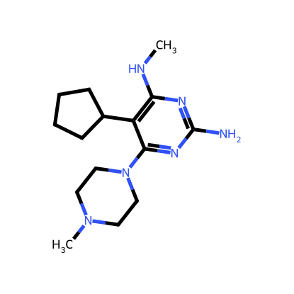 CNc1nc(N)nc(N2CCN(C)CC2)c1C1CCCC1